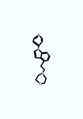 c1cc(CCN2CCOCC2)c2ccn(-c3ccncc3)c2c1